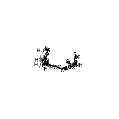 Cc1ncsc1-c1ccc(CNC(=O)[C@@H]2C[C@@H](O)CN2C(=O)[C@@H](NC(=O)OCCOCCOCCOCCC(=O)N2CCN(c3ccc(C(=O)Nc4n[nH]c5ccc(Cc6cc(F)cc(F)c6)cc45)c(NC4CCOCC4)c3)CC2)C(C)(C)C)cc1